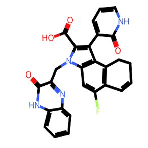 O=C(O)c1c(-c2ccc[nH]c2=O)c2c3c(c(F)cc2n1Cc1nc2ccccc2[nH]c1=O)C=CCC3